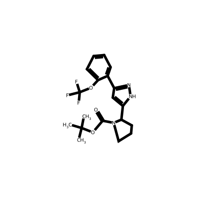 CC(C)(C)OC(=O)N1CCCC1c1cc(-c2ccccc2OC(F)(F)F)n[nH]1